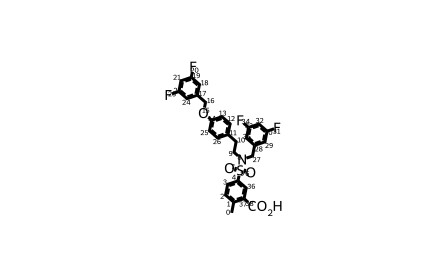 Cc1ccc(S(=O)(=O)N(CCc2ccc(OCc3cc(F)cc(F)c3)cc2)Cc2cc(F)cc(F)c2)cc1C(=O)O